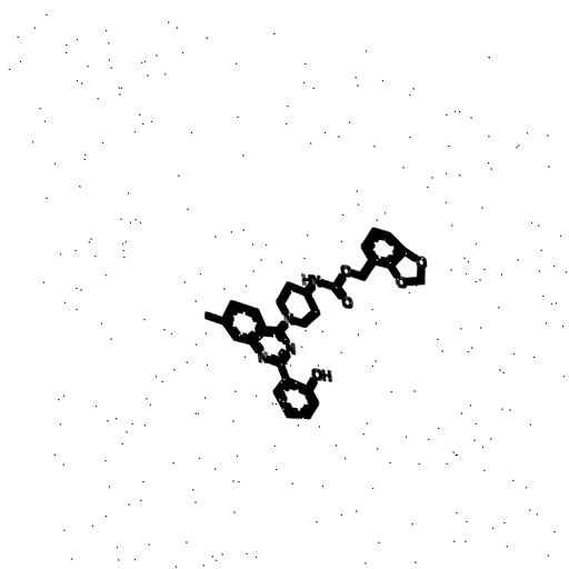 Cc1ccc2c(N3CCC(NC(=O)OCc4cccc5c4OCO5)CC3)nc(-c3ccccc3O)nc2c1